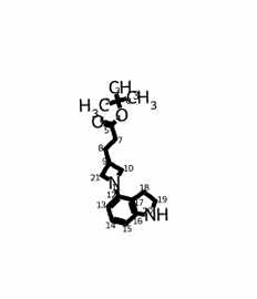 CC(C)(C)OC(=O)CCC1CN(c2cccc3c2CCN3)C1